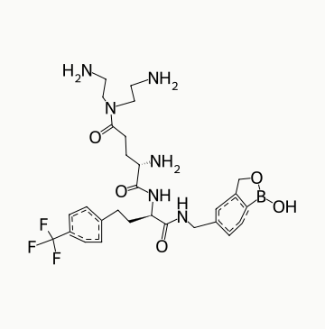 NCCN(CCN)C(=O)CC[C@H](N)C(=O)N[C@H](CCc1ccc(C(F)(F)F)cc1)C(=O)NCc1ccc2c(c1)COB2O